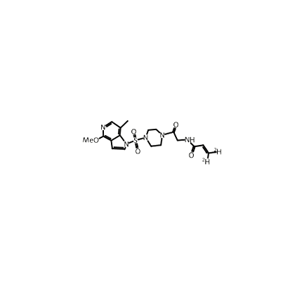 [2H]C([2H])=CC(=O)NCC(=O)N1CCN(S(=O)(=O)n2ccc3c(OC)ncc(C)c32)CC1